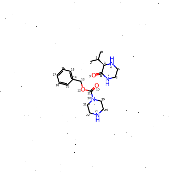 CC(C)[C@H]1NCCNC1=O.O=C(OCc1ccccc1)N1CCNCC1